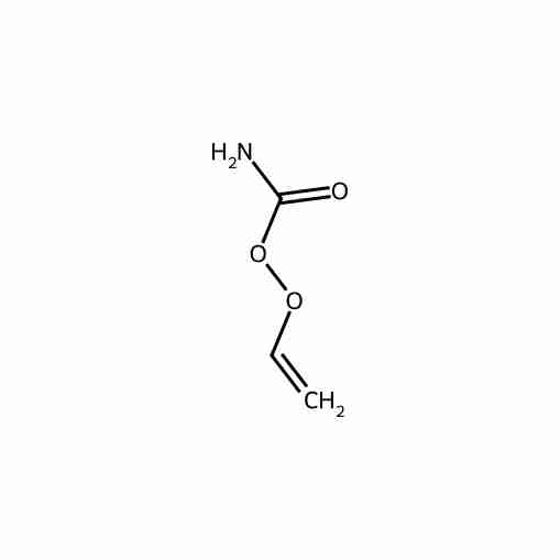 C=COOC(N)=O